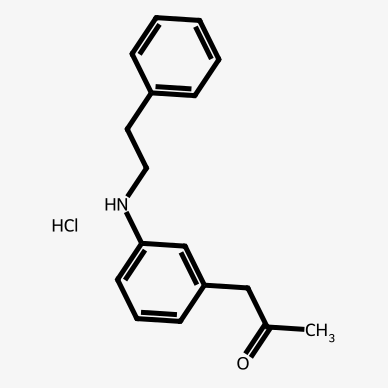 CC(=O)Cc1cccc(NCCc2ccccc2)c1.Cl